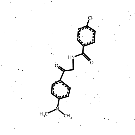 CN(C)c1ccc(C(=O)CNC(=O)c2ccc(Cl)cc2)cc1